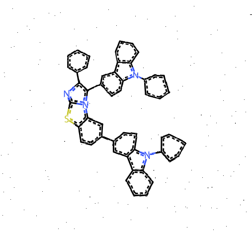 c1ccc(-c2nc3sc4ccc(-c5ccc6c(c5)c5ccccc5n6-c5ccccc5)cc4n3c2-c2ccc3c(c2)c2ccccc2n3-c2ccccc2)cc1